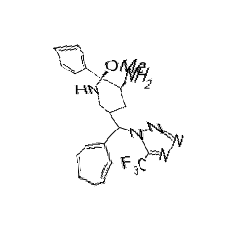 CO[C@]1(c2ccccc2)NCC(C(c2ccccc2)n2nnnc2C(F)(F)F)C[C@@H]1N